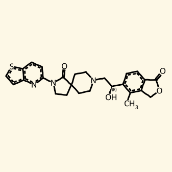 Cc1c([C@@H](O)CN2CCC3(CC2)CCN(c2ccc4sccc4n2)C3=O)ccc2c1COC2=O